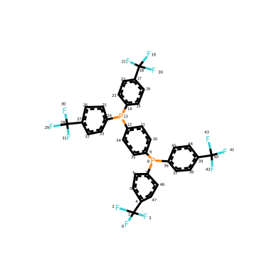 FC(F)(F)c1ccc(P(c2ccc(P(c3ccc(C(F)(F)F)cc3)c3ccc(C(F)(F)F)cc3)cc2)c2ccc(C(F)(F)F)cc2)cc1